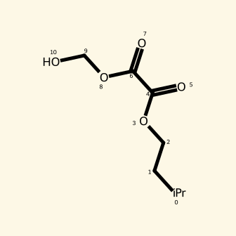 CC(C)CCOC(=O)C(=O)OCO